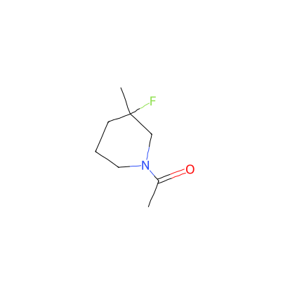 CC(=O)N1CCCC(C)(F)C1